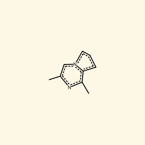 Cc1cn2c[c]cc2c(C)n1